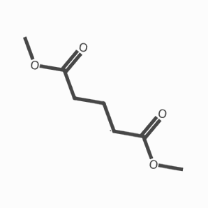 COC(=O)[CH]CCC(=O)OC